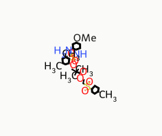 COc1ccc(NS(=O)(=O)c2c(C)cc(C)cc2OCC(C)(C)C(=O)OCCS(=O)(=O)c2ccc(C)cc2)c(N)c1